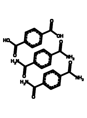 NC(=O)c1ccc(C(N)=O)cc1.NC(=O)c1ccc(C(N)=O)cc1.O=C(O)c1ccc(C(=O)O)cc1